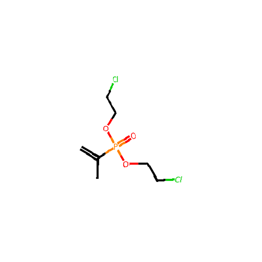 C=C(C)P(=O)(OCCCl)OCCCl